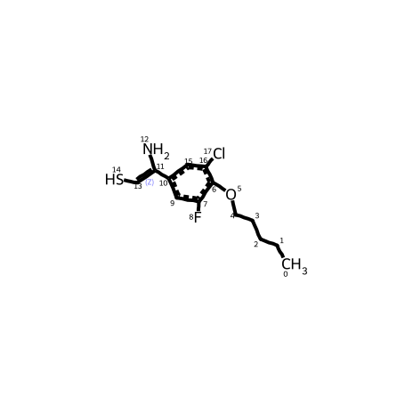 CCCCCOc1c(F)cc(/C(N)=C/S)cc1Cl